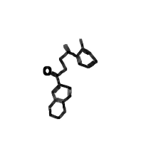 C=C(CCC(=O)c1ccc2c(c1)CCCC2)c1ccccc1C